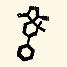 CC1(C)C=C(c2ccccc2)C=CC1(C(=O)O)C(=O)O